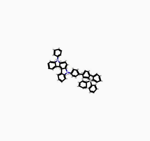 c1ccc(-n2c3ccccc3c3c4c5ccccc5n(-c5ccc(-c6ccc7c(c6)[Si](c6ccccc6)(c6ccccc6)c6ccccc6-7)cc5)c4ccc32)cc1